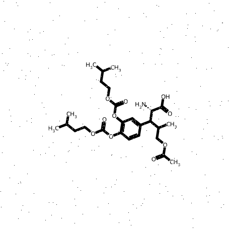 CC(=O)OCC(C)C(c1ccc(OC(=O)OCCC(C)C)c(OC(=O)OCCC(C)C)c1)[C@H](N)C(=O)O